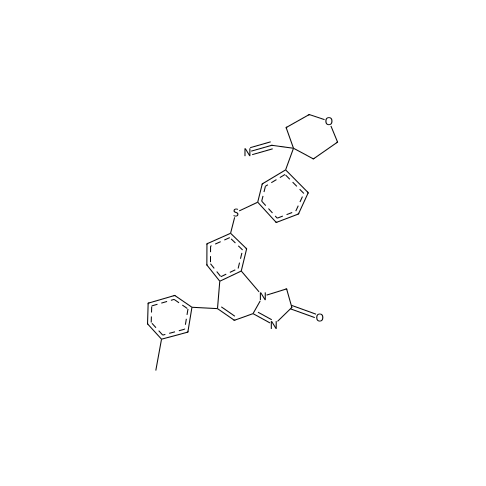 Cc1cccc(C2=CC3=NC(=O)CN3c3cc(Sc4cccc(C5(C#N)CCOCC5)c4)ccc32)c1